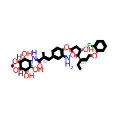 CC/C(=C/COc1ccccc1F)[C@H]1O[C@@H](Oc2ccc(/C=C(\C)C(=O)N[C@@H]3[C@H](O)[C@@H](O)[C@H]4OCO[C@H]4[C@@H]3O)cc2N)C[C@@H]1O